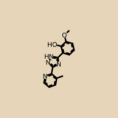 COc1cccc(-c2nc(-c3ncccc3C)n[nH]2)c1O